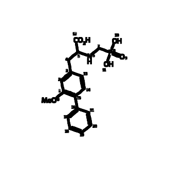 COc1cc(CC(NCP(=O)(O)O)C(=O)O)ccc1-c1ccccc1